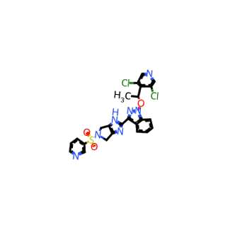 CC(On1nc(-c2nc3c([nH]2)CN(S(=O)(=O)c2cccnc2)C3)c2ccccc21)c1c(Cl)cncc1Cl